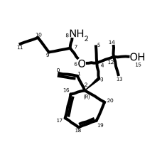 C=C[C@@]1(CC(C)(OC(N)CCC)C(C)(C)O)C=CC=CC1